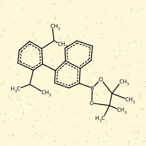 CC(C)c1cccc(C(C)C)c1-c1ccc(B2OC(C)(C)C(C)(C)O2)c2ccccc12